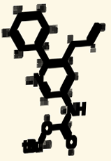 C=CCc1cc(NC(=O)OC(C)(C)C)cnc1-c1ccccc1